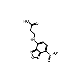 O=C(O)CCNc1ccc([N+](=O)[O-])c2nonc12